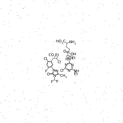 CCNc1nc(Cl)nc(NCC)n1.CCOC(=O)C(Cl)Cc1cc(-n2nc(C)n(C(F)F)c2=O)c(F)cc1Cl.CP(=O)(O)CCC(N)C(=O)O